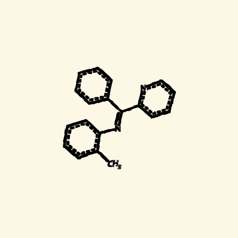 Cc1ccccc1/N=C(\c1ccccc1)c1ccccn1